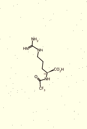 N=C(N)NCCC[C@H](NC(=O)C(F)(F)F)C(=O)O